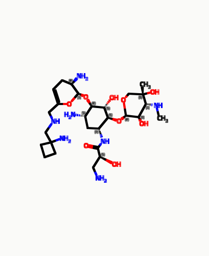 CN[C@@H]1[C@@H](O)[C@@H](O[C@@H]2[C@@H](O)[C@H](O[C@H]3OC(CNCC4(N)CCC4)=CC[C@H]3N)[C@@H](N)C[C@H]2NC(=O)[C@@H](O)CN)OC[C@]1(C)O